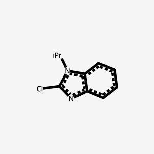 CC(C)n1c(Cl)nc2ccccc21